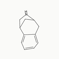 c1ccc2c(c1)CC1CC2CN1